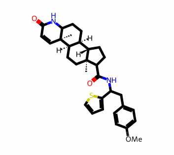 COc1ccc(CC(NC(=O)C2CC[C@H]3[C@@H]4CCC5NC(=O)C=C[C@]5(C)[C@@H]4CC[C@]23C)c2cccs2)cc1